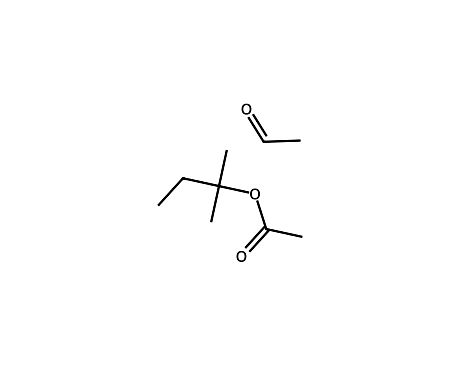 CC=O.CCC(C)(C)OC(C)=O